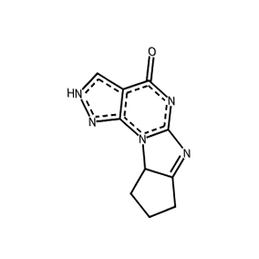 O=c1nc2n(c3n[nH]cc13)C1CCCC1=N2